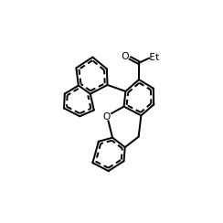 CCC(=O)c1ccc2c(c1-c1cccc3ccccc13)Oc1ccccc1C2